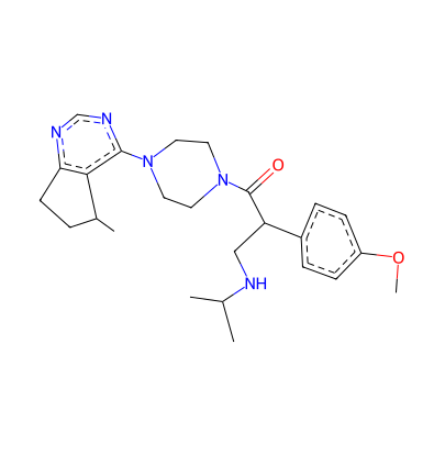 COc1ccc(C(CNC(C)C)C(=O)N2CCN(c3ncnc4c3C(C)CC4)CC2)cc1